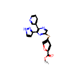 COC(=O)c1cc(Sc2cnc(-c3cccnc3)c(-c3cc[nH]n3)n2)co1